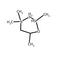 CC1C[Si](C)(C)[SiH2][SiH](C)O1